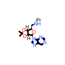 CC(C)NC[C@H]1O[C@@H](n2cnc3cncnc32)[C@@H]2OC(C)(C)O[C@@H]21